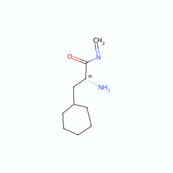 C=NC(=O)[C@H](N)CC1CCCCC1